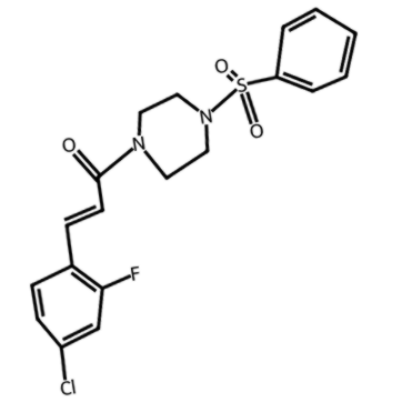 O=C(C=Cc1ccc(Cl)cc1F)N1CCN(S(=O)(=O)c2ccccc2)CC1